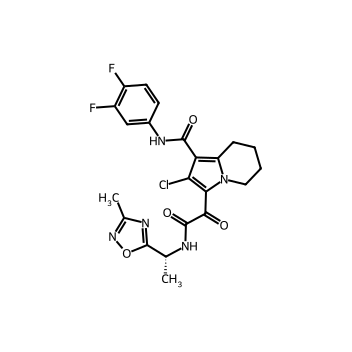 Cc1noc([C@@H](C)NC(=O)C(=O)c2c(Cl)c(C(=O)Nc3ccc(F)c(F)c3)c3n2CCCC3)n1